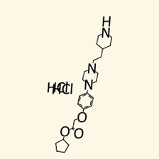 Cl.Cl.O=C(COc1ccc(N2CCN(CCC3CCNCC3)CC2)cc1)OC1CCCC1